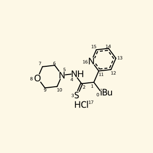 CCC(C)C(C(=S)NN1CCOCC1)c1ccccn1.Cl